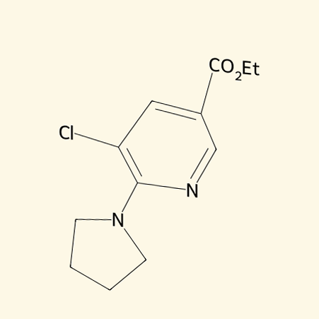 CCOC(=O)c1cnc(N2CCCC2)c(Cl)c1